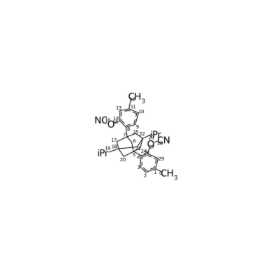 Cc1ccc(C23CC4(c5ccc(C)cc5OC#N)CC(C(C)C)(C2)CC(C(C)C)(C3)C4)c(OC#N)c1